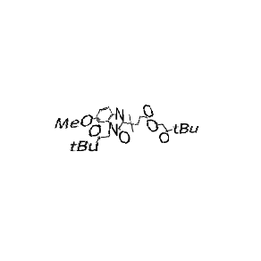 COc1ccc2nc(C(C)(C)CCC(=O)OCC(=O)C(C)(C)C)c(=O)n(CC(=O)C(C)(C)C)c2c1